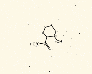 C=C(C(=O)O)C1CCCCC1O